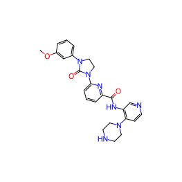 COc1cccc(N2CCN(c3cccc(C(=O)Nc4cnccc4N4CCNCC4)n3)C2=O)c1